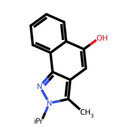 Cc1c2cc(O)c3ccccc3c2nn1C(C)C